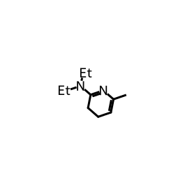 CCN(CC)C1=NC(C)=CCC1